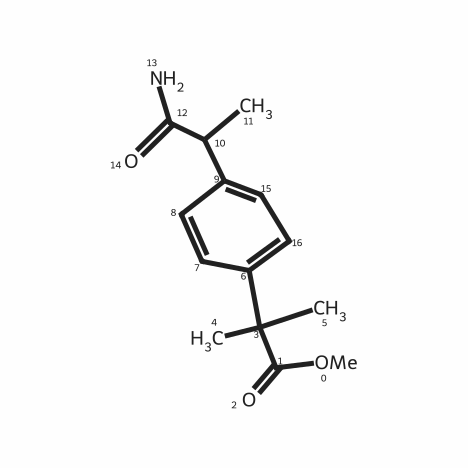 COC(=O)C(C)(C)c1ccc(C(C)C(N)=O)cc1